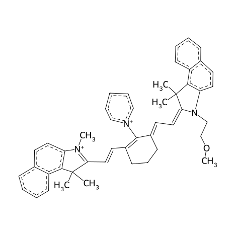 COCCN1/C(=C/C=C2\CCCC(/C=C/C3=[N+](C)c4ccc5ccccc5c4C3(C)C)=C2[n+]2ccccc2)C(C)(C)c2c1ccc1ccccc21